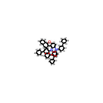 c1ccc(-c2ccc(N(c3cccc(-c4ccccc4)c3)c3ccc4oc5c6ccccc6ccc5c4c3N(c3ccc(-c4ccccc4)cc3)c3ccccc3-c3ccccc3)cc2)cc1